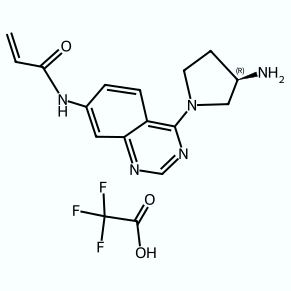 C=CC(=O)Nc1ccc2c(N3CC[C@@H](N)C3)ncnc2c1.O=C(O)C(F)(F)F